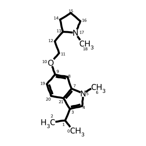 CC(C)c1cn(C)c2cc(OCCC3CCCN3C)ccc12